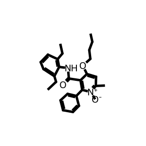 CCCCOc1cc(C)[n+]([O-])c(-c2ccccc2)c1C(=O)Nc1c(CC)cccc1CC